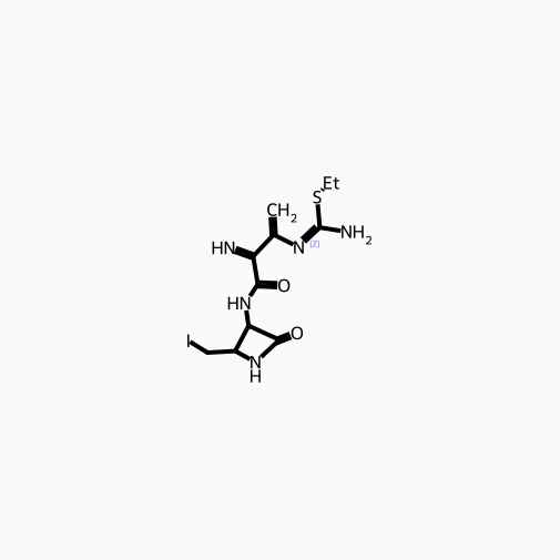 C=C(/N=C(/N)SCC)C(=N)C(=O)NC1C(=O)NC1CI